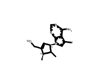 CC1[C@H](n2cc(F)c3c(N)ncnc32)C=C(CO)[C@@H]1C